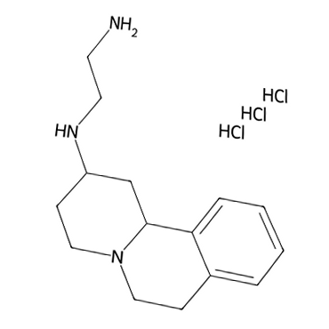 Cl.Cl.Cl.NCCNC1CCN2CCc3ccccc3C2C1